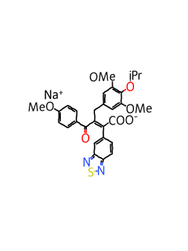 COc1ccc(C(=O)C(Cc2cc(OC)c(OC(C)C)c(OC)c2)=C(C(=O)[O-])c2ccc3nsnc3c2)cc1.[Na+]